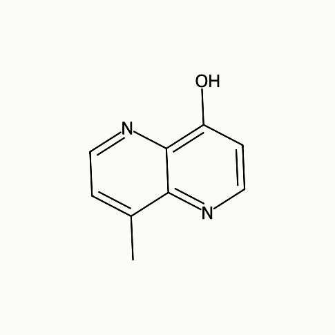 Cc1ccnc2c(O)ccnc12